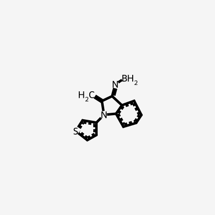 BN=C1C(=C)N(c2ccsc2)c2ccccc21